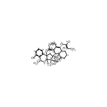 CC(=O)O[C@H]1C(C)=C[C@H]2[C@H](C(C)=C(Cl)Cl)CC[C@@H](C)[C@]2(O)[C@H]1[C@]1(C(=O)O)C[C@@]2(OC(=O)OC(C)(C)C)c3cccc(Cl)c3N(C)O[C@H]2[N+]1(C(=O)[O-])C(C)(C)C